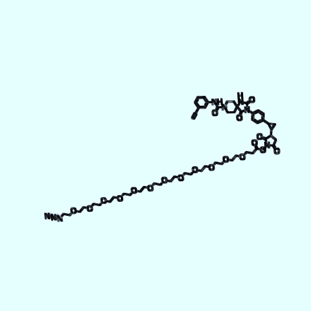 C#Cc1cccc(NC(=O)N2CCC3(CC2)NC(=O)N(c2ccc(C4CC4C4CC(=O)N(OC(=O)CCOCCOCCOCCOCCOCCOCCOCCOCCOCCOCCOCCOCCN=[N+]=[N-])C4=O)cc2)C3=O)c1